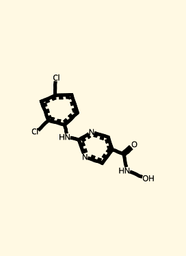 O=C(NO)c1cnc(Nc2ccc(Cl)cc2Cl)nc1